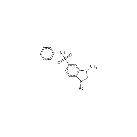 CC(=O)N1CC(C)c2cc(S(=O)(=O)Nc3ccccc3)ccc21